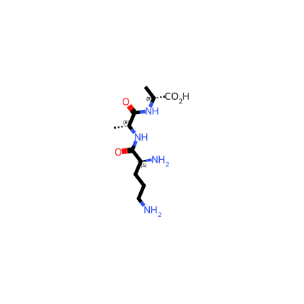 C[C@@H](NC(=O)[C@@H](C)NC(=O)[C@@H](N)CCCN)C(=O)O